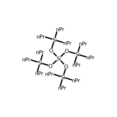 CCC[Si](CCC)(CCC)O[Si](O[Si](CCC)(CCC)CCC)(O[Si](CCC)(CCC)CCC)O[Si](CCC)(CCC)CCC